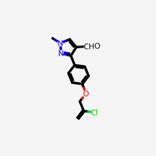 C=C(Cl)COc1ccc(-c2nn(C)cc2C=O)cc1